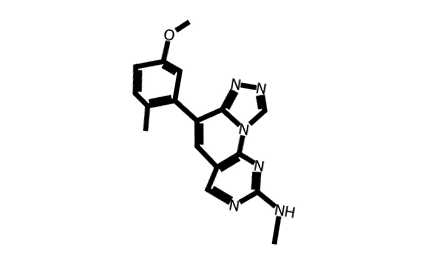 CNc1ncc2cc(-c3cc(OC)ccc3C)c3nncn3c2n1